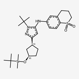 CC(C)(C)n1nc([C@H]2CC[C@@H](O[Si](C)(C)C(C)(C)C)C2)cc1Nc1ccc2c(c1)CCCS2(=O)=O